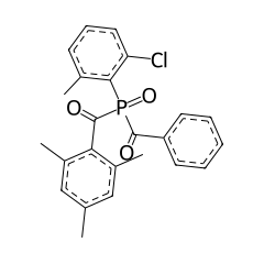 Cc1cc(C)c(C(=O)P(=O)(C(=O)c2ccccc2)c2c(C)cccc2Cl)c(C)c1